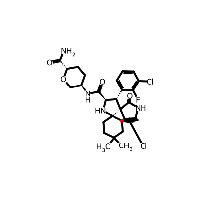 CC1(C)CCC2(CC1)N[C@@H](C(=O)N[C@@H]1CC[C@@H](C(N)=O)OC1)[C@H](c1cccc(Cl)c1F)[C@]21C(=O)Nc2cc(Cl)ncc21